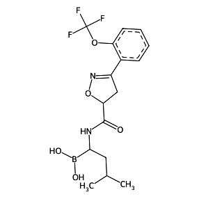 CC(C)CC(NC(=O)C1CC(c2ccccc2OC(F)(F)F)=NO1)B(O)O